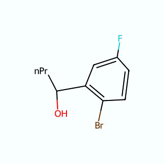 CCCC(O)c1cc(F)ccc1Br